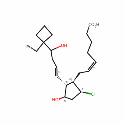 CC(C)CC1(C(O)C/C=C/[C@@H]2[C@@H](C/C=C\CCCC(=O)O)[C@@H](Cl)C[C@H]2O)CCC1